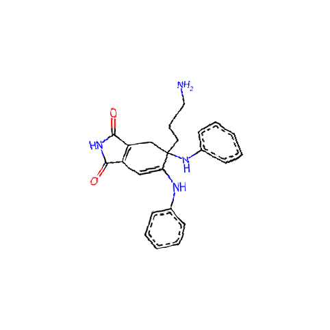 NCCCC1(Nc2ccccc2)CC2=C(C=C1Nc1ccccc1)C(=O)NC2=O